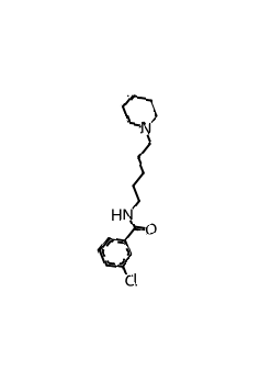 O=C(NCCCCCN1CC[CH]CC1)c1cccc(Cl)c1